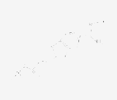 CC(C)(C)OC(=O)CCC1Cc2cc(C(N)=NO)ccc2N1